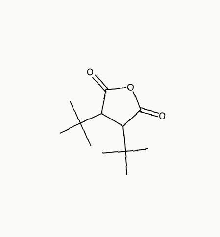 CC(C)(C)C1C(=O)OC(=O)C1C(C)(C)C